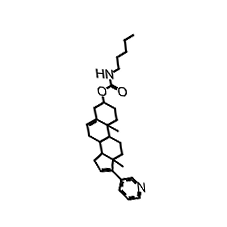 CCCCCNC(=O)OC1CCC2(C)C(=CCC3C2CCC2(C)C(c4cccnc4)=CCC32)C1